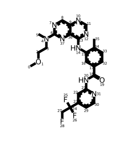 COCCN(C)c1ncc2ncnc(Nc3cc(C(=O)Nc4cc(C(F)(F)CF)ccn4)ccc3C)c2n1